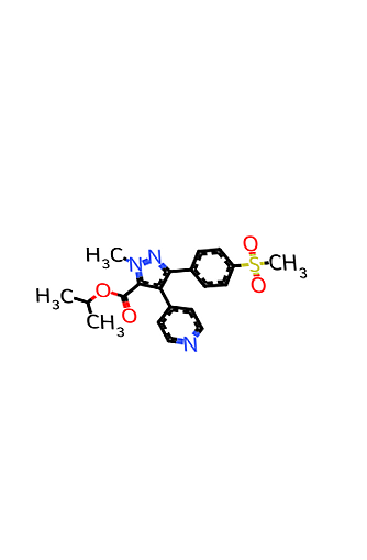 CC(C)OC(=O)c1c(-c2ccncc2)c(-c2ccc(S(C)(=O)=O)cc2)nn1C